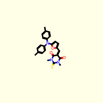 Cc1ccc(N(c2ccc(C)cc2)c2ccc(C=C3C(=O)N(C)C(=S)N(C)C3=O)o2)cc1